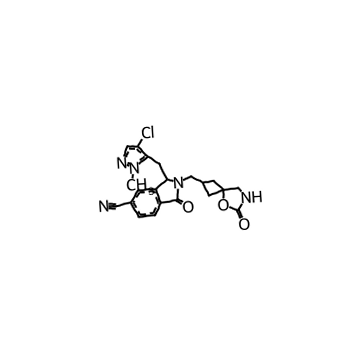 Cn1ncc(Cl)c1CC1c2cc(C#N)ccc2C(=O)N1CC1CC2(CNC(=O)O2)C1